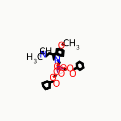 COc1ccc2c(c1)c(CCN(C)C)cn2COP(=O)(OCOC(=O)C1CCCCC1)OCOC(=O)C1CCCCC1